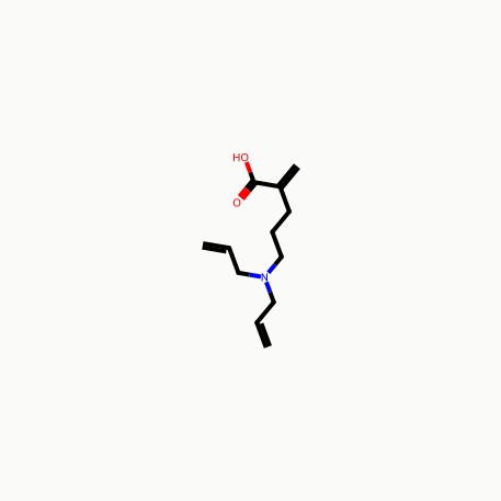 C=CCN(CC=C)CCCC(=C)C(=O)O